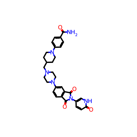 NC(=O)c1ccc(N2CCC(CN3CCN(c4ccc5c(c4)C(=O)N(c4ccc(=O)[nH]c4)C5=O)CC3)CC2)cc1